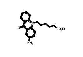 CCOC(=O)CCCCCn1c2ccccc2c(=O)c2cc(N)ccc21